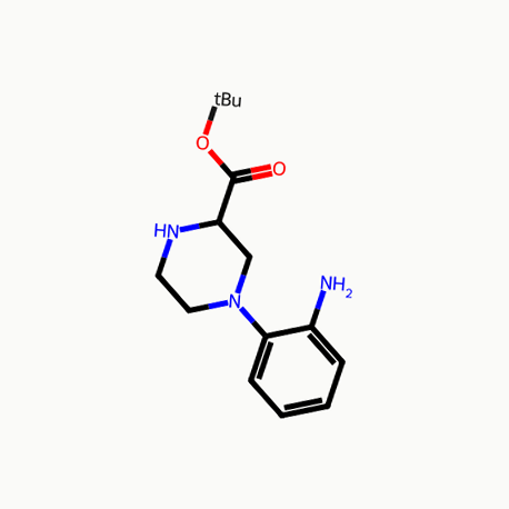 CC(C)(C)OC(=O)C1CN(c2ccccc2N)CCN1